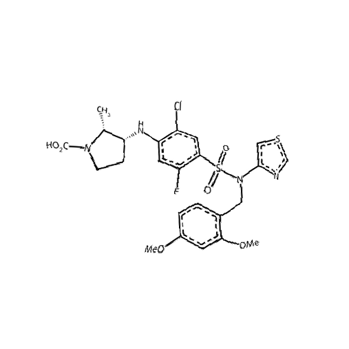 COc1ccc(CN(c2cscn2)S(=O)(=O)c2cc(Cl)c(N[C@@H]3CCN(C(=O)O)[C@@H]3C)cc2F)c(OC)c1